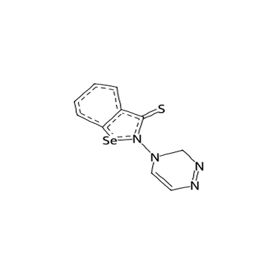 S=c1c2ccccc2[se]n1N1C=CN=NC1